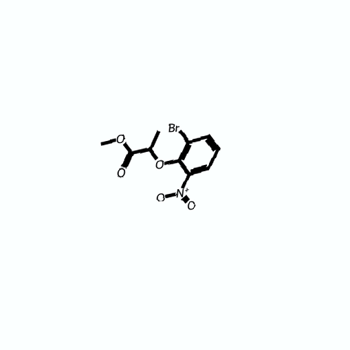 COC(=O)C(C)Oc1c(Br)cccc1[N+](=O)[O-]